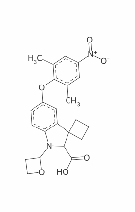 Cc1cc([N+](=O)[O-])cc(C)c1Oc1ccc2c(c1)C1(CCC1)C(C(=O)O)N2C1CCO1